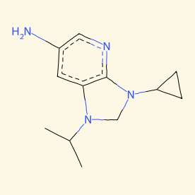 CC(C)N1CN(C2CC2)c2ncc(N)cc21